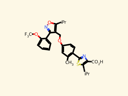 Cc1cc(OCc2c(-c3ccccc3OC(F)(F)F)noc2C(C)C)ccc1-c1nc(C(=O)O)c(C(C)C)s1